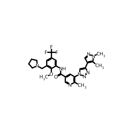 COc1c(CN2CCCC2)cc(C(F)(F)F)cc1NC(=O)c1cnc(C)c(-n2cc(-c3cnn(C)c3C)nn2)c1